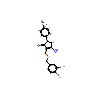 C=C1C(CSCc2ccc(F)c(F)c2)=C(N)CC1c1ccc(C)cc1